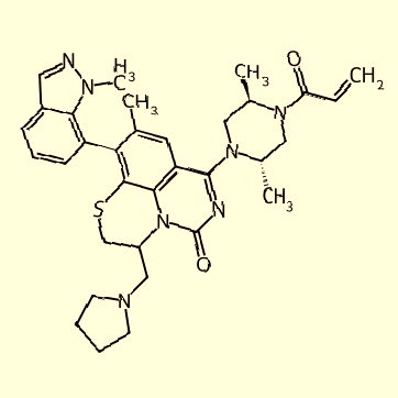 C=CC(=O)N1C[C@H](C)N(c2nc(=O)n3c4c(c(-c5cccc6cnn(C)c56)c(C)cc24)SCC3CN2CCCC2)C[C@H]1C